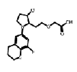 O=C(O)COCCC1C(Cl)CCN1c1cc(F)c2c(c1)CCCS2